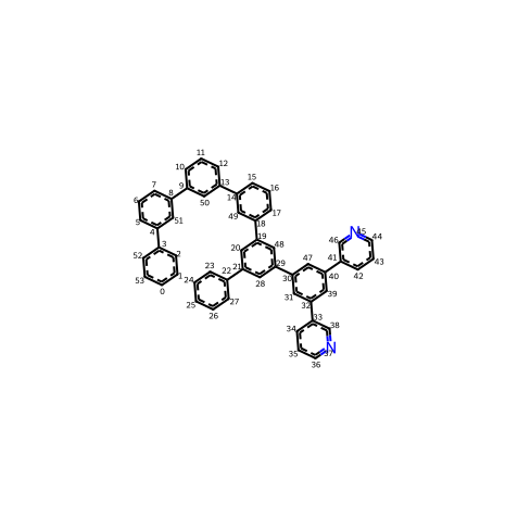 c1ccc(-c2cccc(-c3cccc(-c4cccc(-c5cc(-c6ccccc6)cc(-c6cc(-c7cccnc7)cc(-c7cccnc7)c6)c5)c4)c3)c2)cc1